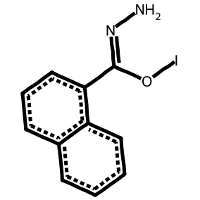 NN=C(OI)c1cccc2ccccc12